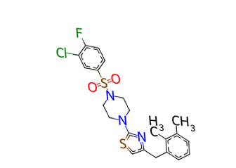 Cc1cccc(Cc2csc(N3CCN(S(=O)(=O)c4ccc(F)c(Cl)c4)CC3)n2)c1C